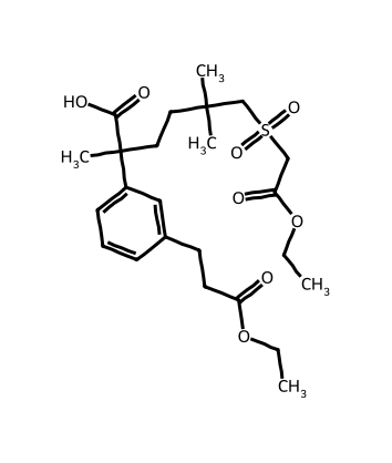 CCOC(=O)CCc1cccc(C(C)(CCC(C)(C)CS(=O)(=O)CC(=O)OCC)C(=O)O)c1